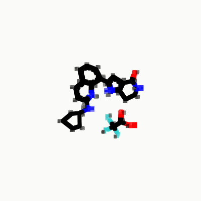 O=C(O)C(F)(F)F.O=C1NCCc2[nH]c(-c3cccc4ccc(NC5CCCC5)nc34)cc21